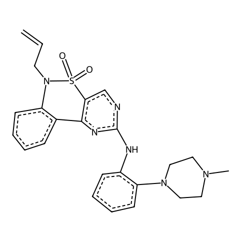 C=CCN1c2ccccc2-c2nc(Nc3ccccc3N3CCN(C)CC3)ncc2S1(=O)=O